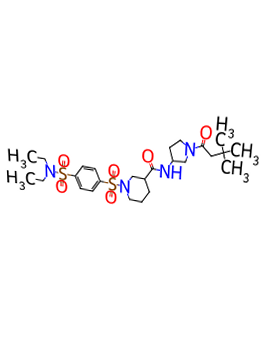 CCN(CC)S(=O)(=O)c1ccc(S(=O)(=O)N2CCCC(C(=O)NC3CCN(C(=O)CC(C)(C)C)C3)C2)cc1